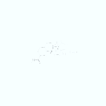 CCC[C@@H](C)[C@H]1CC[C@H]2[C@@H]3CCC4CCC(C(N)=O)C[C@]4(C)[C@H]3CC[C@]12C